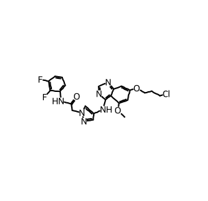 COc1cc(OCCCCl)cc2ncnc(Nc3cnn(CC(=O)Nc4cccc(F)c4F)c3)c12